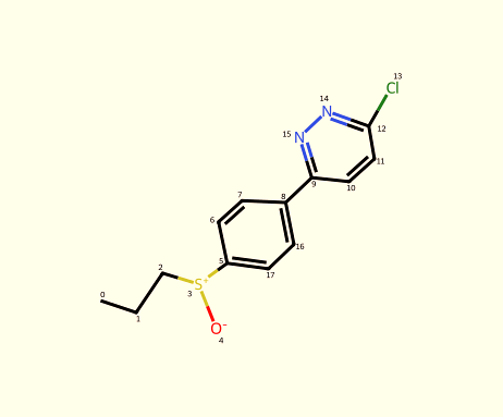 CCC[S+]([O-])c1ccc(-c2ccc(Cl)nn2)cc1